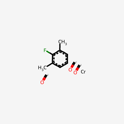 Cc1cccc(C)c1F.[C]=O.[C]=O.[C]=O.[Cr]